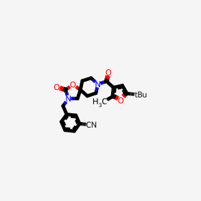 Cc1oc(C(C)(C)C)cc1C(=O)N1CCC2(CC1)CN(Cc1cccc(C#N)c1)C(=O)O2